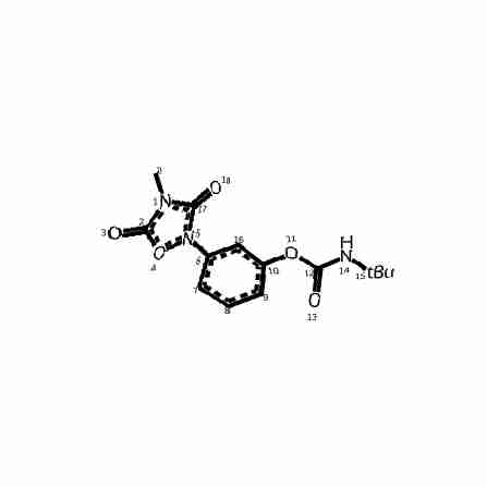 Cn1c(=O)on(-c2cccc(OC(=O)NC(C)(C)C)c2)c1=O